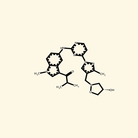 Cc1nn(-c2ccnc(Nc3ccc4c(c3)c(C(=O)C(C)C)cn4C)n2)cc1CN1C[C@H](O)CO1